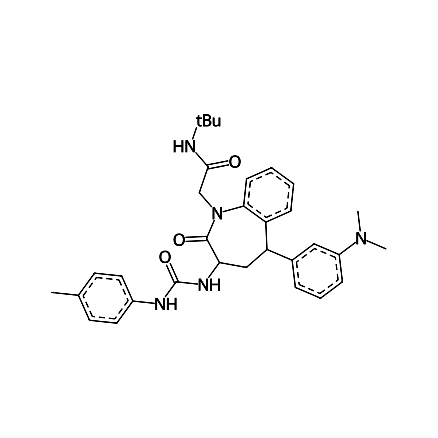 Cc1ccc(NC(=O)NC2CC(c3cccc(N(C)C)c3)c3ccccc3N(CC(=O)NC(C)(C)C)C2=O)cc1